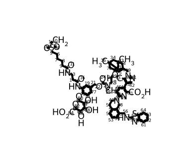 C=CS(=O)(=O)CCCCCC(=O)NCCC(=O)Nc1cc(COC(=O)N(C)CCOC23CC4(C)CC(C)(CC(Cn5ncc(-c6ccc(N7CCc8cccc(CNc9nc%10ccccc%10s9)c8C7)nc6C(=O)O)c5C)(C4)C2)C3)ccc1O[C@@H]1O[C@H](C(=O)O)[C@@H](O)[C@H](O)[C@H]1O